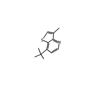 Cc1csc2c(C(C)(C)C)ccnc12